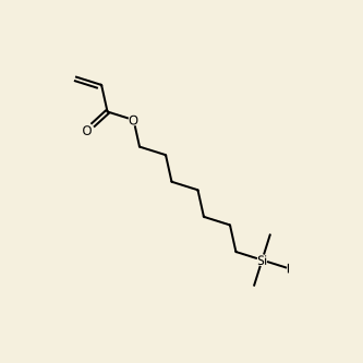 C=CC(=O)OCCCCCCC[Si](C)(C)I